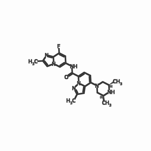 Cc1cn2cc(NC(=O)c3ccc(N4C[C@H](C)N[C@@H](C)C4)c4cc(C)nn34)cc(F)c2n1